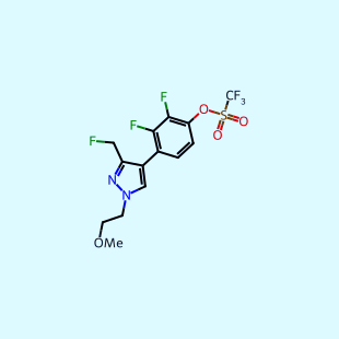 COCCn1cc(-c2ccc(OS(=O)(=O)C(F)(F)F)c(F)c2F)c(CF)n1